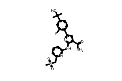 CC(C)(O)c1ccc(-c2cc(C(N)=O)c(Nc3cccc(CS(C)(=O)=O)n3)s2)c(F)c1